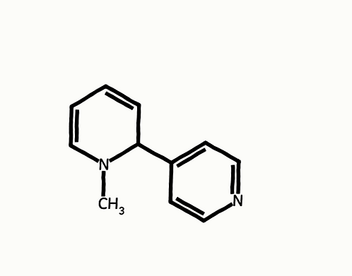 CN1C=CC=CC1c1ccncc1